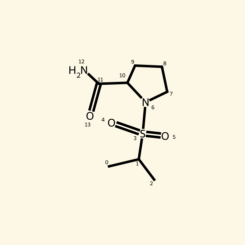 CC(C)S(=O)(=O)N1CCCC1C(N)=O